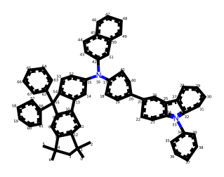 CC1(C)CC(C)(C)c2cc3c(cc21)-c1cc(N(c2ccc(-c4ccc5c(c4)c4ccccc4n5-c4ccccc4)cc2)c2ccc4ccccc4c2)ccc1C3(c1ccccc1)c1ccccc1